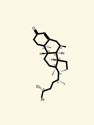 CC[C@H](CC[C@@H](C)[C@H]1CC[C@H]2[C@@H]3[C@H](C)CC4=CC(=O)CC[C@]4(C)[C@H]3CC[C@]12C)C(C)C